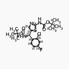 CC(C)(C)OC(=O)Nc1ncc(C(N[S+]([O-])C(C)(C)C)c2ccc(F)cc2Cl)s1